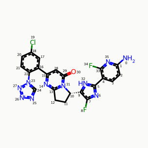 Nc1ccc(-c2nc(F)c([C@@H]3CCc4nc(-c5cc(Cl)ccc5-n5cnnn5)cc(=O)n43)[nH]2)c(F)n1